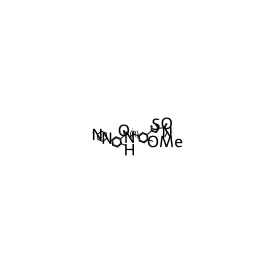 COc1ccc([C@@H](C)NC(=O)c2cc(N3CCN(C)CC3)ccc2C)cc1-c1csc(C(=O)N(C)C)c1